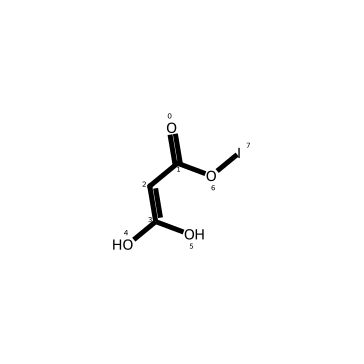 O=C(C=C(O)O)OI